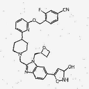 N#Cc1ccc(COc2cccc(C3CCN(Cc4nc5ccc(C6=CC(O)NO6)cc5n4C[C@@H]4CCO4)CC3)n2)c(F)c1